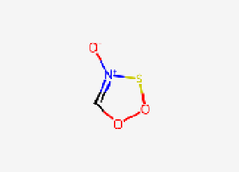 [O-][N+]1=COOS1